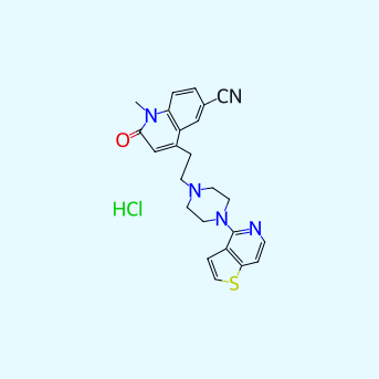 Cl.Cn1c(=O)cc(CCN2CCN(c3nccc4sccc34)CC2)c2cc(C#N)ccc21